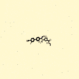 CCNC(=O)C1CCC(N(N)/C(=C\N)c2ccc(-c3ccc(C#N)c(F)c3)cc2)C1